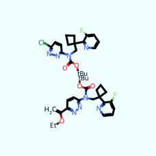 C=C(OCC)c1ccc(N(CC2(c3ncccc3F)CCC2)C(=O)OC(C)(C)C)nn1.CC(C)(C)OC(=O)N(CC1(c2ncccc2F)CCC1)c1ccc(Cl)nn1